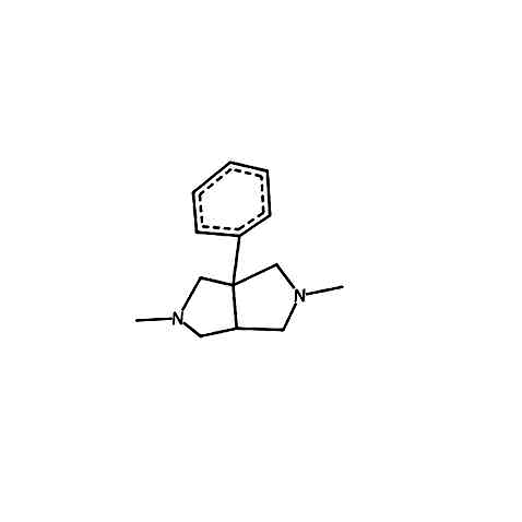 CN1CC2CN(C)CC2(c2ccccc2)C1